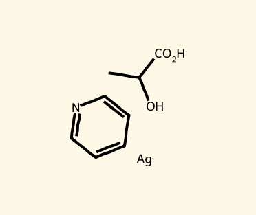 CC(O)C(=O)O.[Ag].c1ccncc1